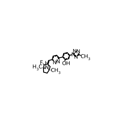 Cc1nnn(-c2ccc(-c3ccc(/C=C4\C[C@@]5(C)CC[C@](C)(N5)[C@H]4F)nn3)c(O)c2)n1